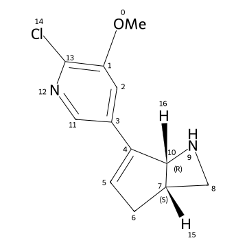 COc1cc(C2=CC[C@H]3CN[C@@H]23)cnc1Cl